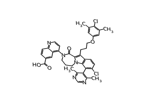 Cc1cc(OCCCc2c3n(c4c(-c5c(C)ncnc5C)c(Cl)ccc24)CCCN(c2ccnc4ccc(C(=O)O)cc24)C3=O)cc(C)c1Cl